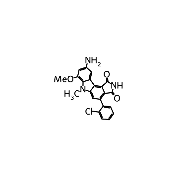 COc1cc(N)cc2c3c4c(c(-c5ccccc5Cl)cc3n(C)c12)C(=O)NC4=O